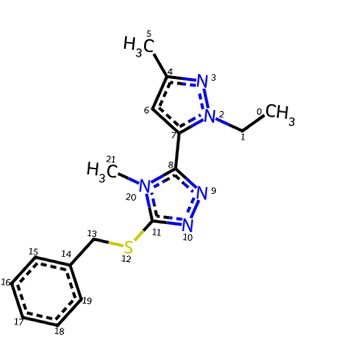 CCn1nc(C)cc1-c1nnc(SCc2ccccc2)n1C